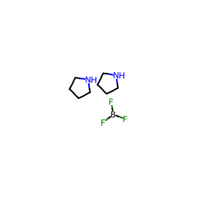 C1CCNC1.C1CCNC1.FB(F)F